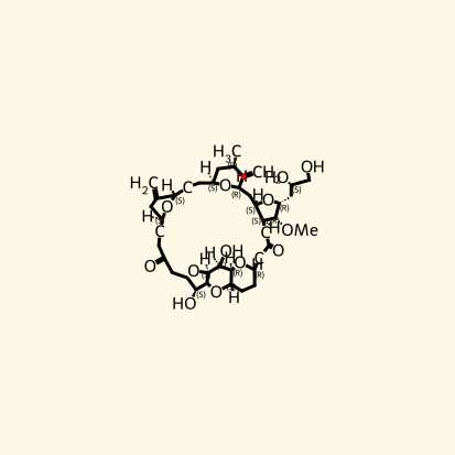 C=C1C[C@@H]2CCC(=O)CC3O[C@@H]4C(O[C@H]5CC[C@H](CC(=O)C[C@@H]6[C@@H](OC)[C@@H](C[C@H](O)CO)O[C@H]6C[C@H]6O[C@@H](CC[C@@H]1O2)C[C@@H](C)C6=C)O[C@@H]5[C@@H]4O)[C@H]3O